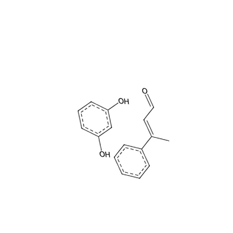 CC(=CC=O)c1ccccc1.Oc1cccc(O)c1